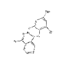 Nc1cc(Br)c(Oc2nnc(Cl)c3ccccc23)c(I)c1